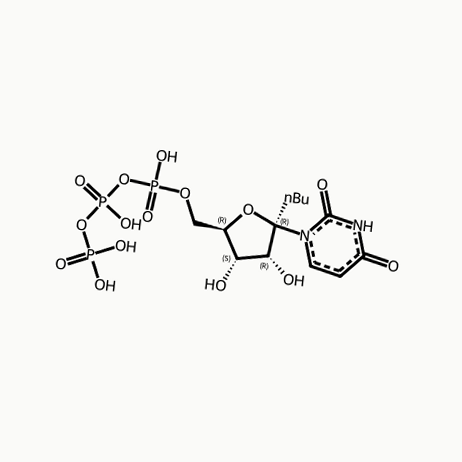 CCCC[C@@]1(n2ccc(=O)[nH]c2=O)O[C@H](COP(=O)(O)OP(=O)(O)OP(=O)(O)O)[C@@H](O)[C@H]1O